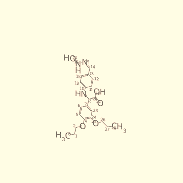 CCCOc1ccc(C(Nc2ccc(/C=N\NO)cc2)C(=O)O)cc1OCCC